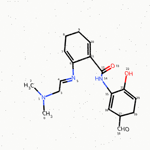 CN(C)C/C=N/C1=CCCC=C1C(=O)NC1=CC(C=O)CC=C1O